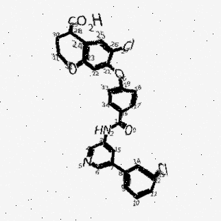 O=C(Nc1cncc(-c2cccc(Cl)c2)c1)c1ccc(Oc2cc3c(cc2Cl)C(C(=O)O)CCO3)cc1